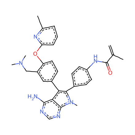 C=C(C)C(=O)Nc1ccc(-c2c(-c3ccc(Oc4cccc(C)n4)c(CN(C)C)c3)c3c(N)ncnc3n2C)cc1